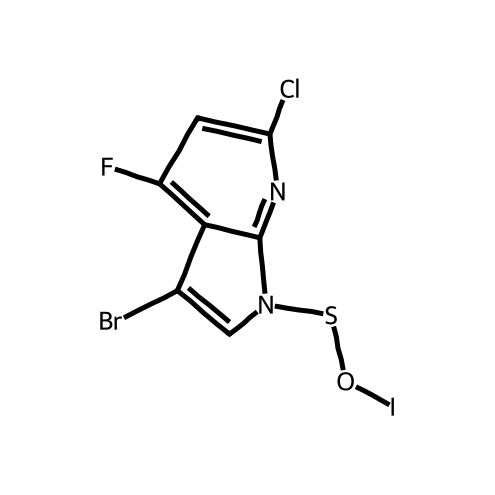 Fc1cc(Cl)nc2c1c(Br)cn2SOI